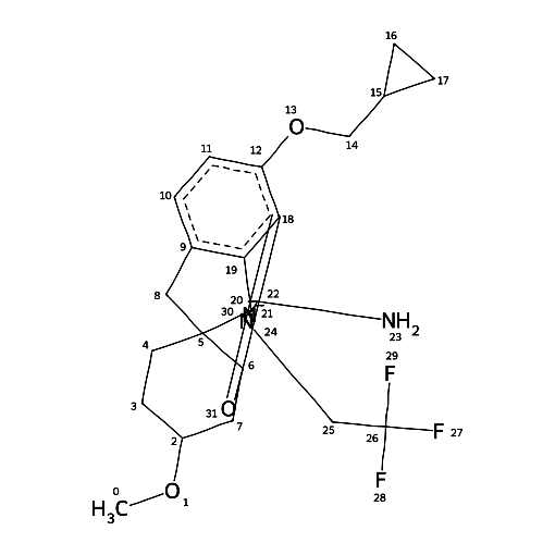 COC1CCC2(CC1)Cc1ccc(OCC3CC3)cc1C21N=C(N)N(CC(F)(F)F)C1=O